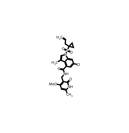 C=CCC1(S(=O)(=O)n2cc(C)c3c(C(=O)NCc4c(OC)cc(C)[nH]c4=O)cc(Cl)cc32)CC1